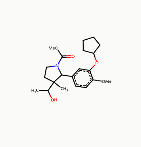 COC(=O)N1CCC(C)(C(C)O)C1c1ccc(OC)c(OC2CCCC2)c1